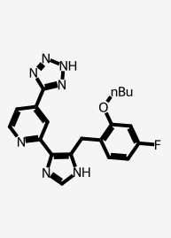 CCCCOc1cc(F)ccc1Cc1[nH]cnc1-c1cc(-c2nn[nH]n2)ccn1